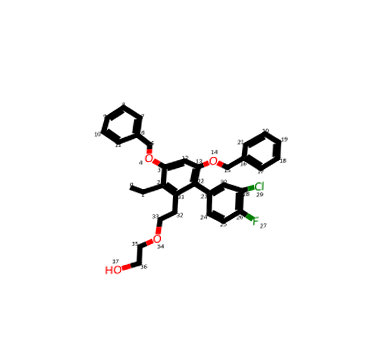 CCc1c(OCc2ccccc2)cc(OCc2ccccc2)c(-c2ccc(F)c(Cl)c2)c1CCOCCO